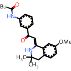 CCC(C)C(=O)Nc1cccc(C(=O)C=C2NC(C)(C)Cc3ccc(OC)cc32)c1